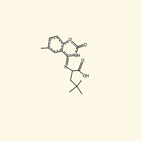 Cc1ccc2oc(=O)[nH]/c(=N\C(CC(C)(C)C)C(=O)O)c2c1